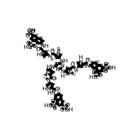 CN(C(=O)c1cc(Nc2nc(Nc3cc(C(=O)N(C)c4c[nH]c(C(=O)Nc5ccc6cc(S(=O)(=O)O)cc(S(=O)(=O)O)c6c5)c4)n(C)c3)nc(Nc3cc(C(=O)N(C)c4c[nH]c(C(=O)Nc5ccc6cc(S(=O)(=O)O)cc(S(=O)(=O)O)c6c5)c4)n(C)c3)n2)cn1C)c1c[nH]c(C(=O)Nc2ccc3cc(S(=O)(=O)O)cc(S(=O)(=O)O)c3c2)c1